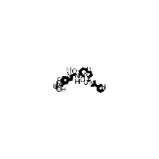 O=C(N[C@H]1CCC[C@H]2CC[C@@H](C(=O)N3CC(c4cccnc4)C3)N2C1=O)c1cc2cc(CP(=O)(O)O)c(F)cc2[nH]1